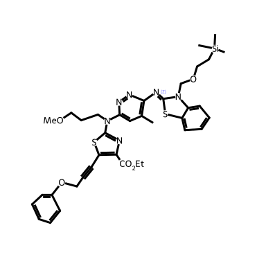 CCOC(=O)c1nc(N(CCCOC)c2cc(C)c(/N=c3\sc4ccccc4n3COCC[Si](C)(C)C)nn2)sc1C#CCOc1ccccc1